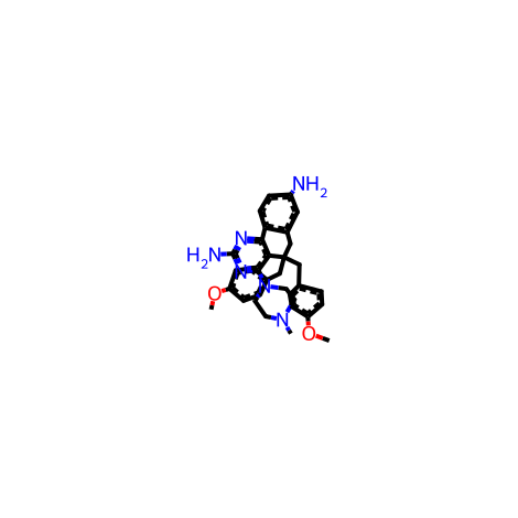 COc1ccc(CC2(Cc3ccc(OC)cc3)Cc3cc(N)ccc3-c3nc(N)nc(N4CCN(C)CC4)c32)cc1